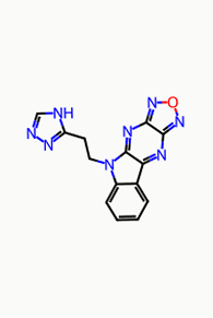 c1ccc2c(c1)c1nc3nonc3nc1n2CCc1nnc[nH]1